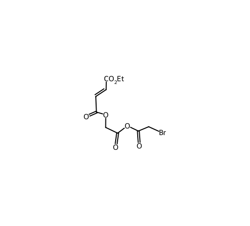 CCOC(=O)C=CC(=O)OCC(=O)OC(=O)CBr